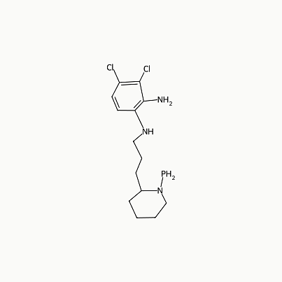 Nc1c(NCCCC2CCCCN2P)ccc(Cl)c1Cl